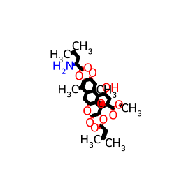 COC(=O)C12CC(O)C3C4(C)CC(=O)C(OC(=O)C(N)CC(C)C)=C(C)C4CC4OC(=O)C(OC(=O)C=C(C)C)C1C43CO2